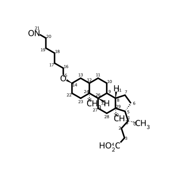 C[C@H](CCC(=O)O)[C@H]1CC[C@H]2C3CCC4C[C@H](OCCCCCN=O)CC[C@]4(C)[C@H]3CC[C@]12C